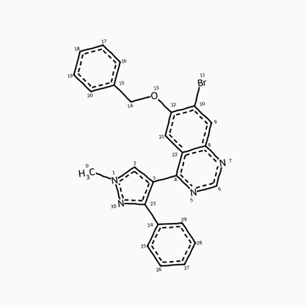 Cn1cc(-c2ncnc3cc(Br)c(OCc4ccccc4)cc23)c(-c2ccccc2)n1